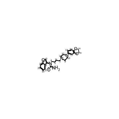 NC(=O)N(CCCCN1CCN(c2ccc3c(c2)OCCO3)CC1)c1coc2ccccc12